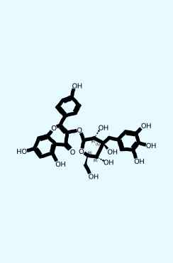 O=c1c(OC2O[C@H](CO)[C@@H](O)[C@@](O)(Cc3cc(O)c(O)c(O)c3)[C@H]2O)c(-c2ccc(O)cc2)oc2cc(O)cc(O)c12